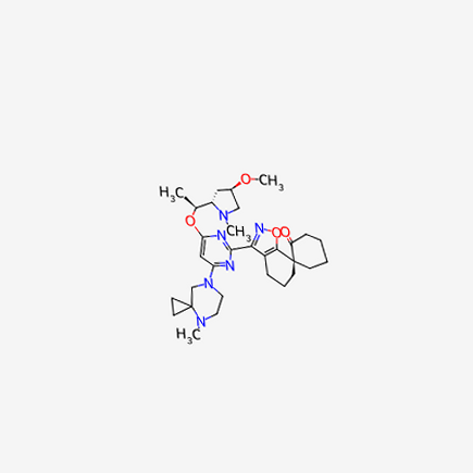 CO[C@@H]1C[C@@H]([C@H](C)Oc2cc(N3CCN(C)C4(CC4)C3)nc(-c3noc4c3CCC[C@@]43CCCCC3=O)n2)N(C)C1